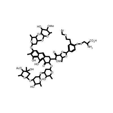 COC(C(=O)C1OC(c2ccc(SSCC(N)C(=O)O)c(CCOCC(C)=O)c2)OC1C)C1Cc2cc3cc(OC4CC(OC5CC(O)C(OC)C(C)O5)C(OC(C)=O)C(C)O4)c(C)c(O)c3c(O)c2C(=O)C1OC1CC(OC2CC(OC3CC(C)(O)C(OC(C)=O)C(C)O3)C(O)C(C)O2)C(O)C(C)O1